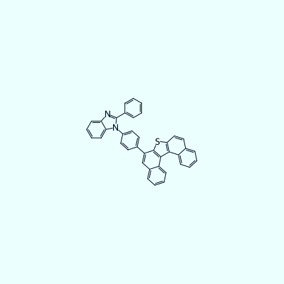 c1ccc(-c2nc3ccccc3n2-c2ccc(-c3cc4ccccc4c4c3sc3ccc5ccccc5c34)cc2)cc1